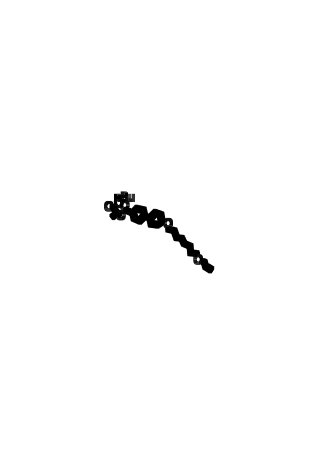 C=CCOCCCCCCCCOc1ccc(-c2ccc(C(=O)OC(C)C(=O)OCCCC)cc2)cc1